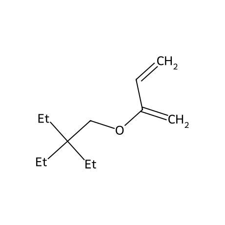 C=CC(=C)OCC(CC)(CC)CC